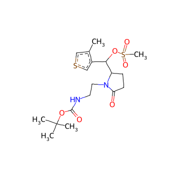 Cc1cscc1C(OS(C)(=O)=O)C1CCC(=O)N1CCNC(=O)OC(C)(C)C